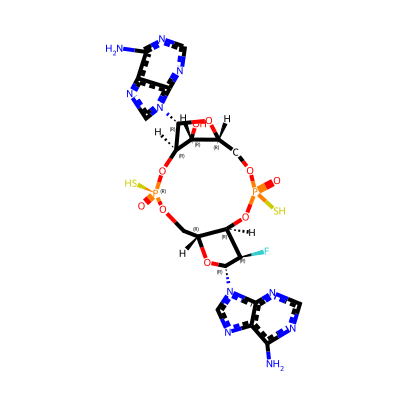 Nc1ncnc2c1ncn2[C@@H]1O[C@@H]2CO[P@@](=O)(S)O[C@@H]3[C@H](O)[C@@H](COP(=O)(S)O[C@H]2[C@H]1F)O[C@H]3n1cnc2c(N)ncnc21